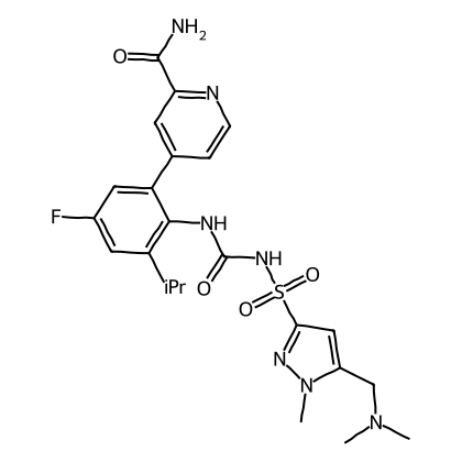 CC(C)c1cc(F)cc(-c2ccnc(C(N)=O)c2)c1NC(=O)NS(=O)(=O)c1cc(CN(C)C)n(C)n1